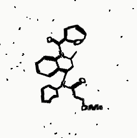 COCCC(=O)N(c1ccccc1)C1CC(C)N(C(=O)c2ccco2)c2ccccc21